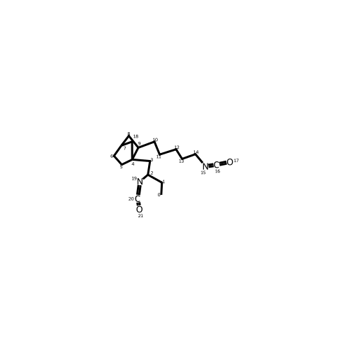 CCC(CC12CCC(CC1CCCCCN=C=O)C2)N=C=O